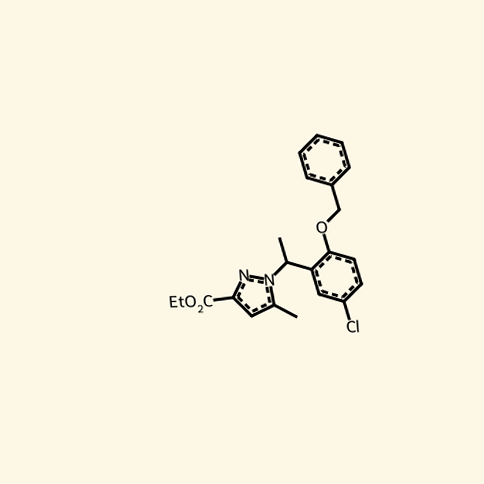 CCOC(=O)c1cc(C)n(C(C)c2cc(Cl)ccc2OCc2ccccc2)n1